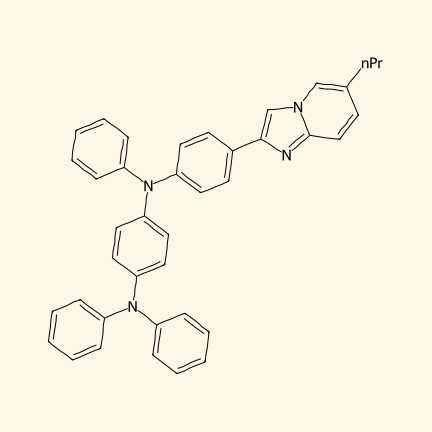 CCCc1ccc2nc(-c3ccc(N(c4ccccc4)c4ccc(N(c5ccccc5)c5ccccc5)cc4)cc3)cn2c1